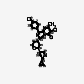 Cc1nc2c(-c3ccc(Cl)cc3)nc([C@H]3CCO[C@H](c4cnn(C5CC5)c4)C3)cn2c(=O)c1Cl